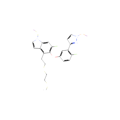 CC(=O)SCCSCCc1c(Oc2ccc(F)c(-c3ccn(PI)n3)c2)c(F)cc2c1ccn2SI